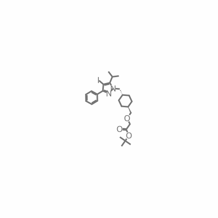 CC(C)c1c(I)c(-c2ccccc2)nn1C[C@H]1CC[C@H](COCC(=O)OC(C)(C)C)CC1